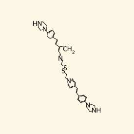 C=CC(/C=C/C1=CC=C(N2CCNCC2)CC1)=C\C=N\CCSSCC[n+]1ccc(/C=C/c2ccc(N3CCNCC3)cc2)cc1